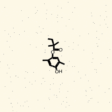 CCC(C)(C)C(=O)Oc1cc(C)c(O)cc1C